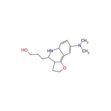 CN(C)C1=CC2=C3OCCC3C(CCCO)NC2C=C1